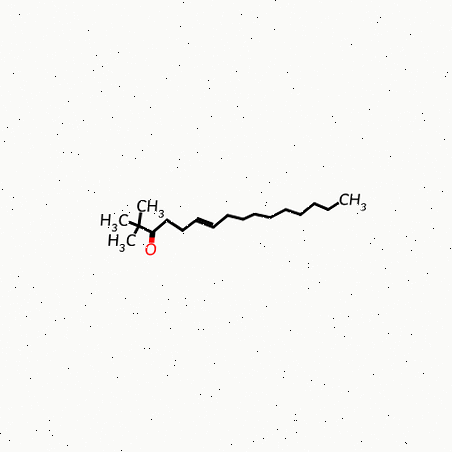 CCCCCCCCCC=CCCC(=O)C(C)(C)C